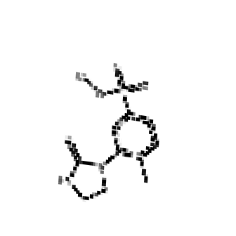 CCOS(=O)(=O)c1ccc(C)c(N2CCNC2=O)c1